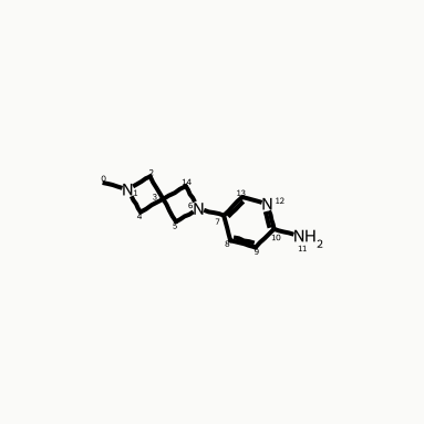 CN1CC2(C1)CN(c1ccc(N)nc1)C2